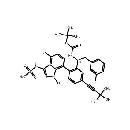 Cn1nc(NS(C)(=O)=O)c2c(Cl)ccc(-c3ccc(C#CC(C)(C)O)nc3[C@H](Cc3cccc(F)c3)NC(=O)OC(C)(C)C)c21